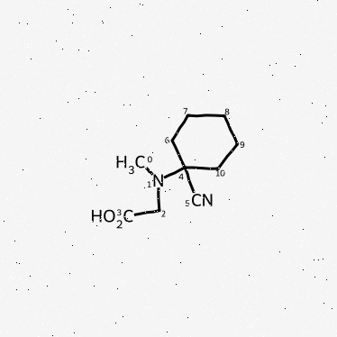 CN(CC(=O)O)C1(C#N)CCCCC1